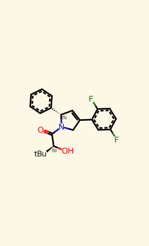 CC(C)(C)[C@H](O)C(=O)N1CC(c2cc(F)ccc2F)=C[C@H]1c1ccccc1